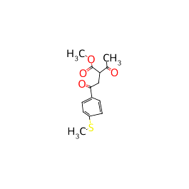 COC(=O)C(CC(=O)c1ccc(SC)cc1)C(C)=O